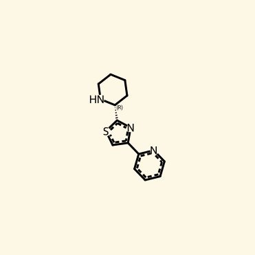 c1ccc(-c2csc([C@H]3CCCCN3)n2)nc1